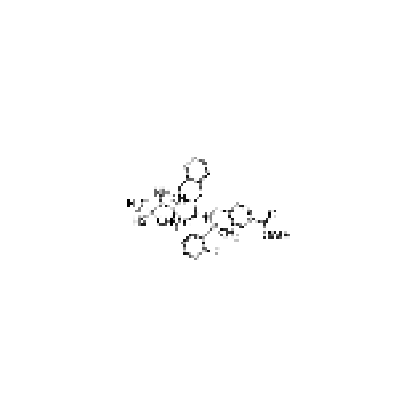 COC(=O)c1ccc(CN(C(=O)C2Cc3ccccc3CN2C(=O)C(N)C(C)(C)S)[C@H](C)c2ccccc2F)cc1